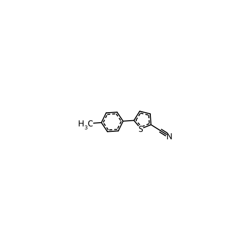 Cc1ccc(-c2ccc(C#N)s2)cc1